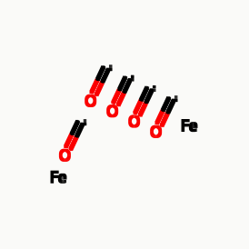 [C]=O.[C]=O.[C]=O.[C]=O.[C]=O.[Fe].[Fe]